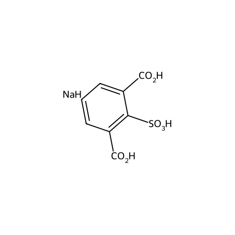 O=C(O)c1cccc(C(=O)O)c1S(=O)(=O)O.[NaH]